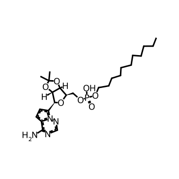 CCCCCCCCCCCOP(=O)(O)OC[C@H]1O[C@@H](c2ccc3c(N)ncnn23)[C@@H]2OC(C)(C)O[C@@H]21